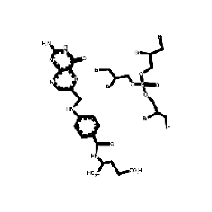 Nc1nc2ncc(CNc3ccc(C(=O)NC(CCC(=O)O)C(=O)O)cc3)nc2c(=O)[nH]1.O=P(OCC(Br)CBr)(OCC(Br)CBr)OCC(Br)CBr